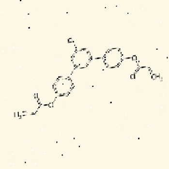 C=CC(=O)Oc1ccc(-c2cc(Cl)cc(-c3ccc(OC(=O)C=C)cc3)c2)cc1